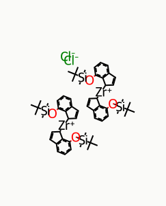 CC(C)(C)[Si](C)(C)Oc1cccc2c1[CH]([Zr+][CH]1C=Cc3cccc(O[Si](C)(C)C(C)(C)C)c31)C=C2.CC(C)(C)[Si](C)(C)Oc1cccc2c1[CH]([Zr+][CH]1C=Cc3cccc(O[Si](C)(C)C(C)(C)C)c31)C=C2.[Cl-].[Cl-]